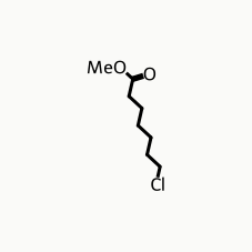 COC(=O)CCCCCCCl